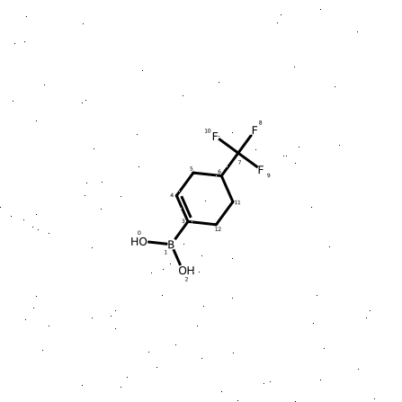 OB(O)C1=CCC(C(F)(F)F)CC1